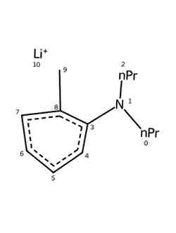 CCCN(CCC)c1ccccc1C.[Li+]